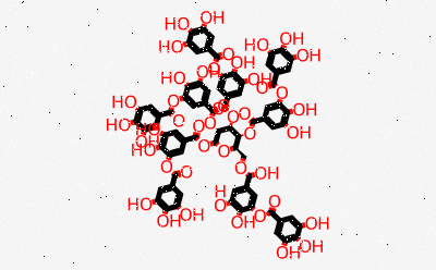 O=C(Oc1cc(C(=O)OC2O[C@H](COC(O)c3cc(O)c(O)c(OC(=O)c4cc(O)c(O)c(O)c4)c3)[C@@H](OC(=O)c3cc(O)c(O)c(OC(=O)c4cc(O)c(O)c(O)c4)c3)[C@H](OC(=O)c3cc(O)c(O)c(OC(=O)c4cc(O)c(O)c(O)c4)c3)[C@H]2OC(=O)c2cc(O)c(O)c(OC(=O)c3cc(O)c(O)c(O)c3)c2)cc(O)c1O)c1cc(O)c(O)c(O)c1